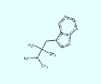 CN(C)C(C)(C)Cn1ccc2ncncc21